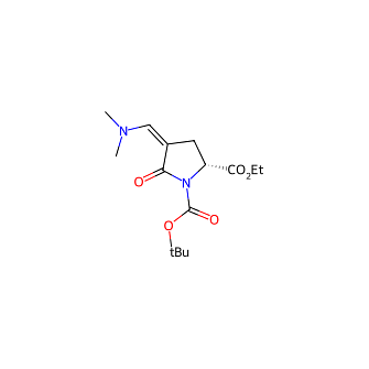 CCOC(=O)[C@H]1C/C(=C/N(C)C)C(=O)N1C(=O)OC(C)(C)C